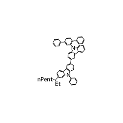 CCCCCC(CC)c1ccc2c3cc(-c4ccc5c(c4)c4ccccc4n5-c4cc(-c5ccccc5)ccc4-c4ccccc4)ccc3n(-c3ccccc3)c2c1